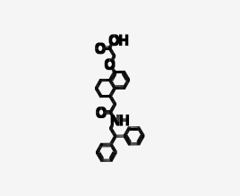 O=C(O)COc1cccc2c1CCCC2CC(=O)NCC(c1ccccc1)c1ccccc1